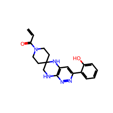 C=CC(=O)N1CCC2(CC1)CNc1nnc(-c3ccccc3O)cc1N2